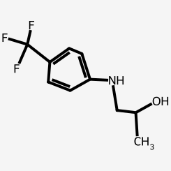 CC(O)CNc1ccc(C(F)(F)F)cc1